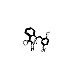 O=c1[nH]nc(Cc2cc(Br)ccc2F)c2ccccc12